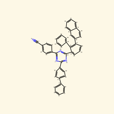 N#Cc1ccc(-c2nc(-c3ccc(-c4ccccc4)cc3)nc(-c3cccc(-c4ccc5ccccc5c4)c3-c3ccccc3)n2)cc1